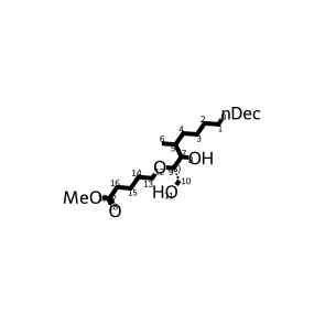 CCCCCCCCCCCCCCC(C)C(O)[C@H](CO)OCCCCC(=O)OC